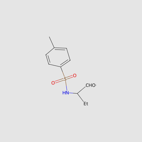 CCC([C]=O)NS(=O)(=O)c1ccc(C)cc1